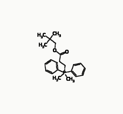 CC(C)(C)COC(=O)CCP(C)(C)(c1ccccc1)c1ccccc1